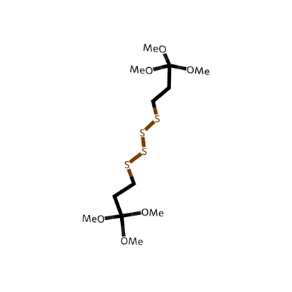 COC(CCSSSSCCC(OC)(OC)OC)(OC)OC